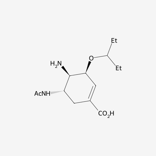 CCC(CC)O[C@H]1C=C(C(=O)O)C[C@H](NC(C)=O)[C@H]1N